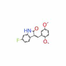 COc1ccc(OC)c(C=C2C(=O)Nc3cc(F)ccc32)c1